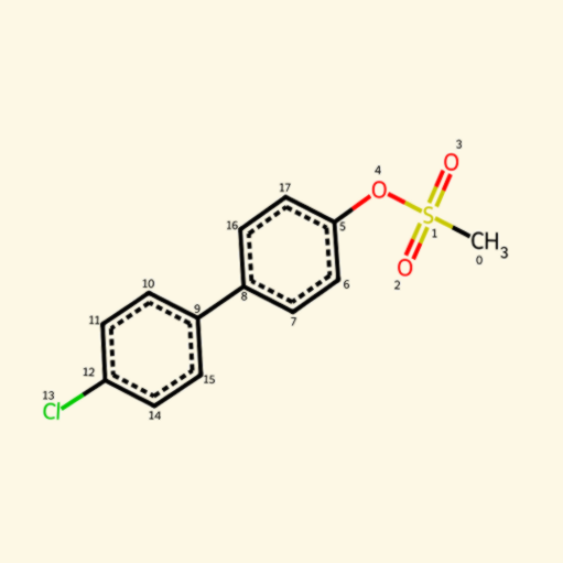 CS(=O)(=O)Oc1ccc(-c2ccc(Cl)cc2)cc1